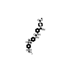 COC(=O)N1CCN(C(=N)c2cccc(NC(=O)Nc3ccc(S(=O)(=O)Nc4ccc(S(N)(=O)=O)cc4)cc3)c2)CC1